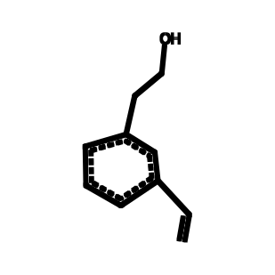 C=Cc1cccc(CCO)c1